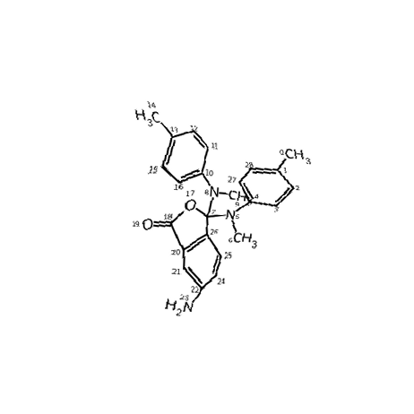 Cc1ccc(N(C)C2(N(C)c3ccc(C)cc3)OC(=O)c3cc(N)ccc32)cc1